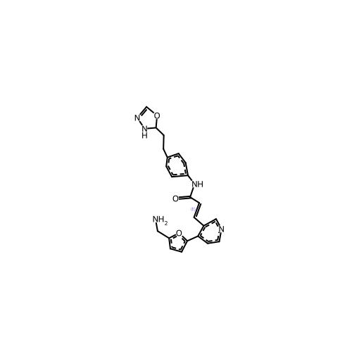 NCc1ccc(-c2ccncc2/C=C/C(=O)Nc2ccc(CCC3NN=CO3)cc2)o1